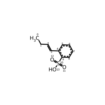 CCC=Cc1ccccc1S(=O)(=O)O